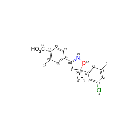 Cc1cc(Cl)cc([C@]2(C(F)(F)F)CC(c3ccc(C(=O)O)c(C)c3)=NO2)c1